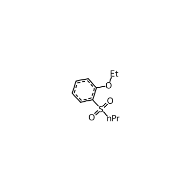 [CH2]CCS(=O)(=O)c1ccccc1OCC